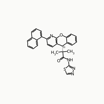 CC(C)(C(=O)Nc1nncs1)[C@H]1c2ccccc2Oc2nc(-c3cccc4ccccc34)ccc21